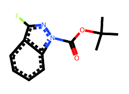 CC(C)(C)OC(=O)n1nc(F)c2ccccc21